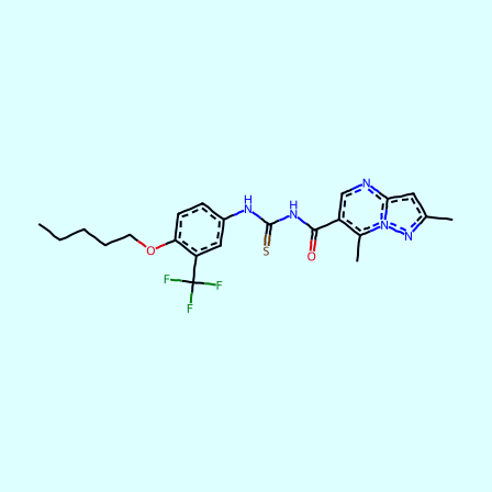 CCCCCOc1ccc(NC(=S)NC(=O)c2cnc3cc(C)nn3c2C)cc1C(F)(F)F